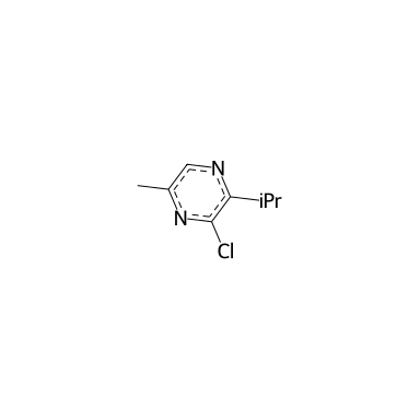 Cc1cnc(C(C)C)c(Cl)n1